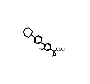 O=C(O)C1(c2ccc(-c3ccc(C4CCCCCC4)cc3)c(F)c2)CC1